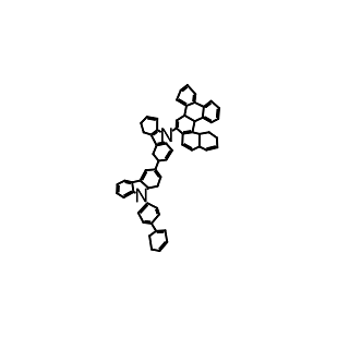 C1=CCCC(c2ccc(N3c4ccccc4C4=CC(C5C=Cc6c(c7c(n6C6=CC8c9ccccc9-c9ccccc9C8C8=C6C=CC6C=CCCC86)C=CCC7)C5)=CCC43)cc2)=C1